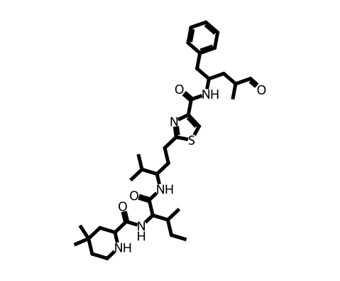 CCC(C)C(NC(=O)C1CC(C)(C)CCN1)C(=O)NC(CCc1nc(C(=O)NC(Cc2ccccc2)CC(C)C=O)cs1)C(C)C